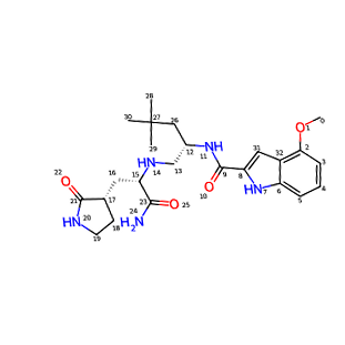 COc1cccc2[nH]c(C(=O)N[C@H](CN[C@@H](C[C@@H]3CCNC3=O)C(N)=O)CC(C)(C)C)cc12